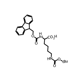 CC(C)(C)OC(=O)NCCCCC([AsH]C(=O)OCC1c2ccccc2-c2ccccc21)C(=O)O